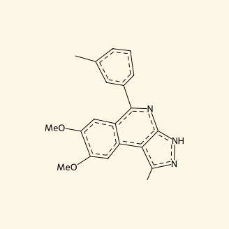 COc1cc2c(-c3cccc(C)c3)nc3[nH]nc(C)c3c2cc1OC